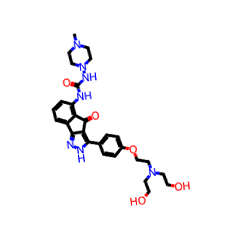 CN1CCN(NC(=O)Nc2cccc3c2C(=O)c2c-3n[nH]c2-c2ccc(OCCN(CCO)CCO)cc2)CC1